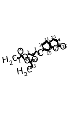 C=CC(=O)OCC(COc1ccc2ccc(=O)oc2c1)OC(=O)C=C